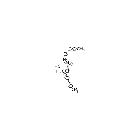 Cc1ccc(COc2ccc(Oc3ccc(/C=C/C(=O)N4CCN(Cc5ccc(CCOc6ccc(C)cc6)cc5)CC4)cc3C)nc2)cc1.Cl